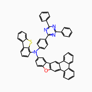 c1ccc(-c2nc(-c3ccccc3)nc(-c3ccc(N(c4ccc5oc6cc7c8ccccc8c8ccccc8c7cc6c5c4)c4cccc5c4sc4ccccc45)cc3)n2)cc1